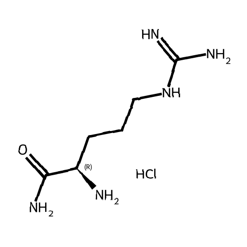 Cl.N=C(N)NCCC[C@@H](N)C(N)=O